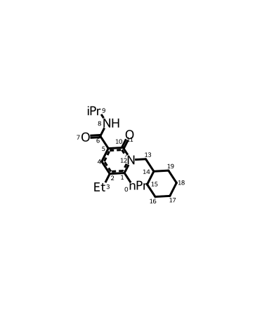 CCCc1c(CC)cc(C(=O)NC(C)C)c(=O)n1CC1CCCCC1